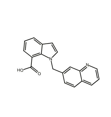 O=C(O)c1cccc2ccn(Cc3ccc4cccnc4c3)c12